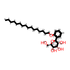 CCCCCCCCCCCCCCCCOc1ccccc1[C]1O[C@H](CO)[C@@H](O)[C@H](O)[C@H]1O